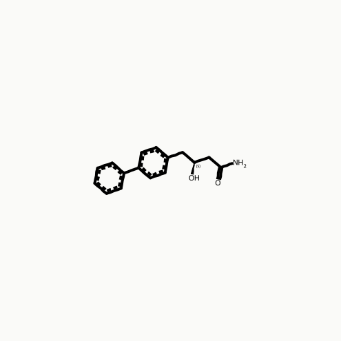 NC(=O)C[C@@H](O)Cc1ccc(-c2ccccc2)cc1